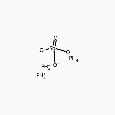 [O]=[Sb]([O-])([O-])[O-].[PH4+].[PH4+].[PH4+]